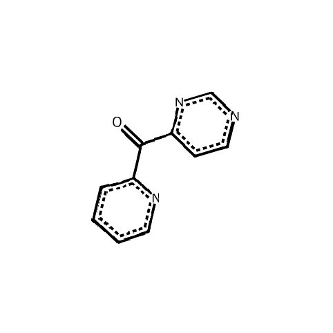 O=C(c1ccccn1)c1ccncn1